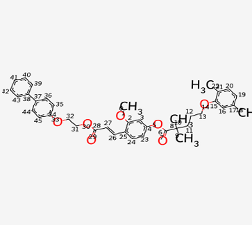 COc1cc(OC(=O)C(C)(C)CCCOc2cc(C)ccc2C)ccc1C=CC(=O)OCCOc1ccc(-c2ccccc2)cc1